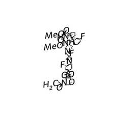 C=CC(=O)N1CCOC[C@@H](S(=O)(=O)c2ccc(N3CC(F)(CN4CCC(C(CNC(=O)OC)(c5cccc(F)c5)[C@H]5CCC[C@@H]5NC(=O)OC)CC4)C3)c(F)c2)C1